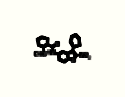 O=Cc1ccccc1C(=O)Nc1ccc2oc([N+](=O)[O-])c(-c3ccccc3)c2c1